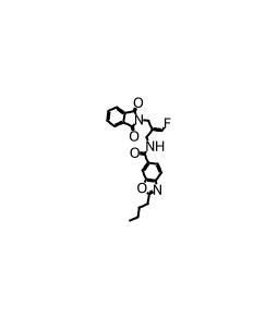 CCCCc1nc2ccc(C(=O)NCC(=CF)CN3C(=O)c4ccccc4C3=O)cc2o1